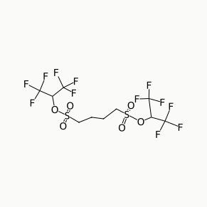 O=S(=O)(CCCCS(=O)(=O)OC(C(F)(F)F)C(F)(F)F)OC(C(F)(F)F)C(F)(F)F